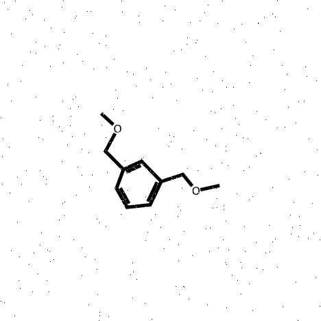 COCc1[c]c(COC)ccc1